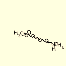 CCOC(=O)COCCOCCOCCNC